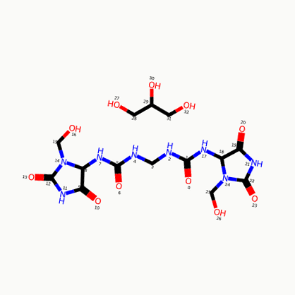 O=C(NCNC(=O)NC1C(=O)NC(=O)N1CO)NC1C(=O)NC(=O)N1CO.OCC(O)CO